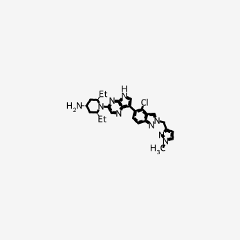 CC[C@@H]1C[C@H](N)C[C@H](CC)N1c1cnc2c(-c3ccc4nn(Cc5ccn(C)n5)cc4c3Cl)c[nH]c2n1